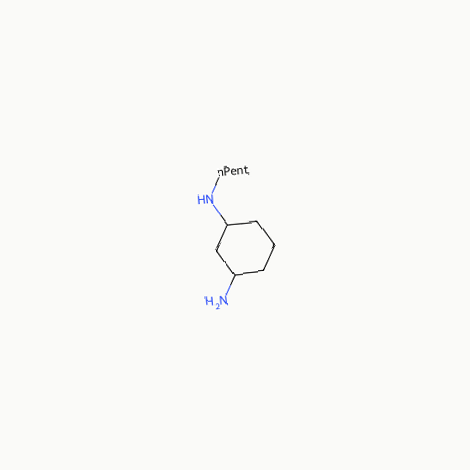 CCCCCNC1CCCC(N)C1